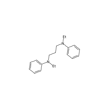 CCN(CCCN(CC)c1ccccc1)c1ccccc1